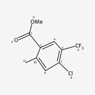 COC(=O)c1cc(C(F)(F)F)c(Cl)cc1C